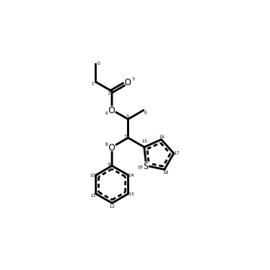 CCC(=O)OC(C)C(Oc1ccccc1)c1cccs1